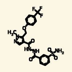 Cn1ncc(C(=O)NNC(=O)c2cccc(S(N)(=O)=O)c2)c1COc1ccc(C(F)(F)F)cc1